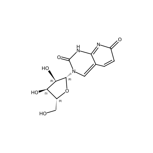 O=c1ccc2cn([C@@H]3O[C@H](CO)[C@@H](O)[C@H]3O)c(=O)[nH]c-2n1